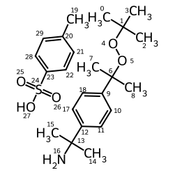 CC(C)(C)OOC(C)(C)c1ccc(C(C)(C)N)cc1.Cc1ccc(S(=O)(=O)O)cc1